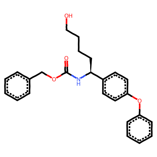 O=C(N[C@@H](CCCCO)c1ccc(Oc2ccccc2)cc1)OCc1ccccc1